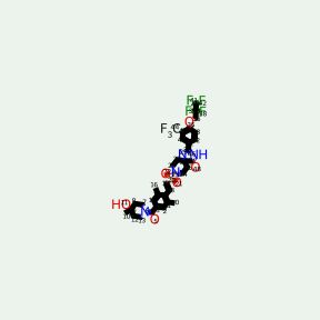 Cc1cc(C(=O)N2CCC(C)(O)CC2)cc(C)c1/C=C/S(=O)(=O)N1CCC2(CC1)N=C(c1ccc(OCC(F)(F)C(F)F)c(C(F)(F)F)c1)NC2=O